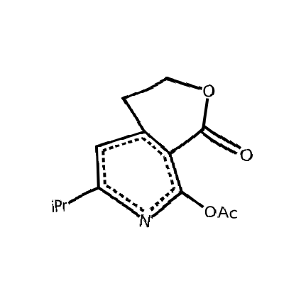 CC(=O)Oc1nc(C(C)C)cc2c1C(=O)OCC2